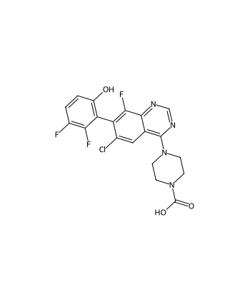 O=C(O)N1CCN(c2ncnc3c(F)c(-c4c(O)ccc(F)c4F)c(Cl)cc23)CC1